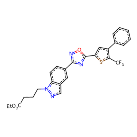 CCOC(=O)CCCn1ncc2cc(-c3noc(-c4cc(-c5ccccc5)c(C(F)(F)F)s4)n3)ccc21